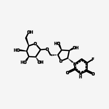 O=c1[nH]c(=O)n([C@@H]2O[C@H](COC3O[C@H](CO)[C@H](O)[C@H](O)[C@H]3O)[C@@H](O)[C@H]2O)cc1F